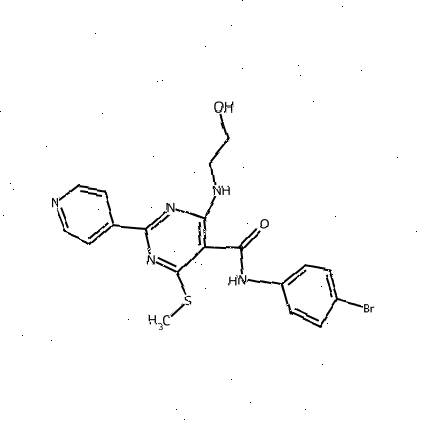 CSc1nc(-c2ccncc2)nc(NCCO)c1C(=O)Nc1ccc(Br)cc1